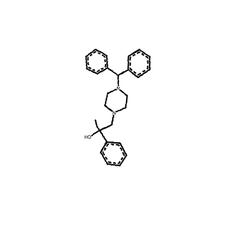 CC(O)(CN1CCN(C(c2ccccc2)c2ccccc2)CC1)c1ccccc1